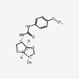 N#C[C@H]1CO[C@H]2[C@@H]1OC[C@@H]2NC(=O)Nc1ccc(OC(F)(F)F)cc1